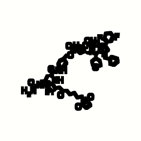 CC(C)[C@H](CC(=O)CCCCCN1C(=O)C=CC1=O)C(=O)N[C@@H](CCCNC(N)=O)C(=O)Nc1ccc(COC(=O)N2CC[C@H](CN(C(=O)[C@H](C)O)[C@@H](c3nc(-c4cc(F)ccc4F)cn3Cc3ccccc3)C3CCOCC3)C2)cc1